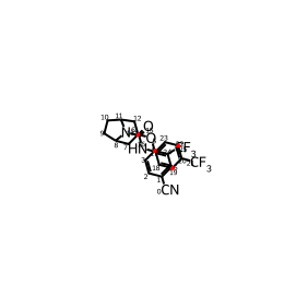 N#Cc1ccc(OC2CC3CCC(C2)N3C(=O)Nc2ccc(C(F)(F)F)cc2)c(C(F)(F)F)c1